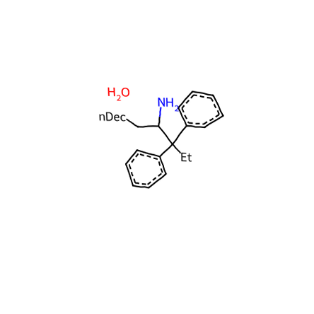 CCCCCCCCCCCC(N)C(CC)(c1ccccc1)c1ccccc1.O